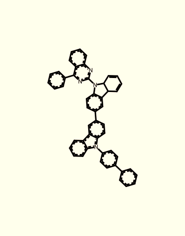 C1=CC2c3cc(-c4ccc5c(c4)c4ccccc4n5-c4ccc(-c5ccccc5)cc4)ccc3N(c3nc(-c4ccccc4)c4ccccc4n3)C2C=C1